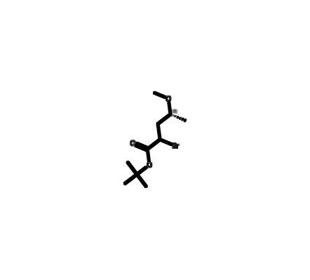 CO[C@H](C)CC(Br)C(=O)OC(C)(C)C